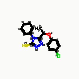 CC(Oc1ccc(Cl)cc1)c1nnc(S)n1-c1ccccc1